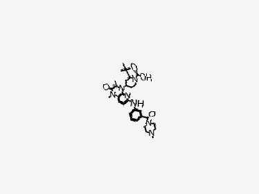 C[C@@H]1C(=O)N(C)c2ccc(Nc3cccc(C(=O)N4CCN(C)CC4)c3)nc2N1C1CCN(C(=O)O)C(C(C)(C)C)C1